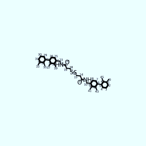 Cc1cccc(-c2ccc(CNC(=O)CCSSCCC(=O)NCc3ccc(-c4cccc(C)c4C)c(C)c3C)c(C)c2C)c1C